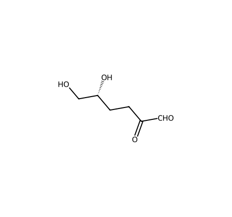 O=CC(=O)CC[C@@H](O)CO